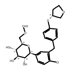 O=COC[C@H]1O[C@@H](c2ccc(Cl)c(Cc3ccc(O[C@@H]4CCOC4)cc3)c2)[C@H](O)[C@@H](O)[C@@H]1O